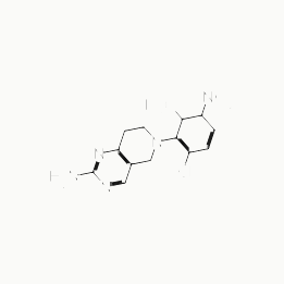 CC1=C(N2CCc3nc(N)ncc3C2)C(C)C([N+](=O)[O-])C=C1